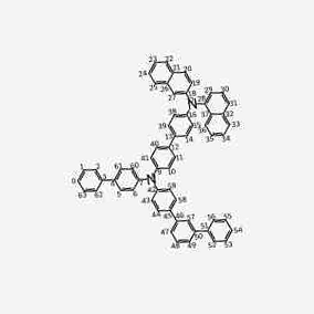 c1ccc(-c2ccc(N(c3ccc(-c4ccc(N(c5ccc6ccccc6c5)c5cccc6ccccc56)cc4)cc3)c3ccc(-c4cccc(-c5ccccc5)c4)cc3)cc2)cc1